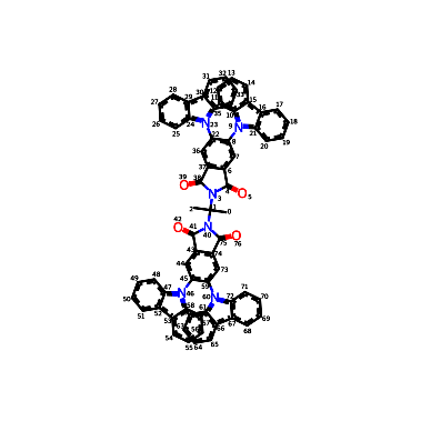 CC(C)(N1C(=O)c2cc(-n3c4ccccc4c4ccccc43)c(-n3c4ccccc4c4ccccc43)cc2C1=O)N1C(=O)c2cc(-n3c4ccccc4c4ccccc43)c(-n3c4ccccc4c4ccccc43)cc2C1=O